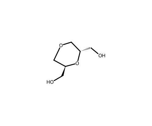 OC[C@H]1COC[C@H](CO)O1